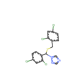 Clc1ccc(CSC(c2ccc(Cl)cc2Cl)n2cncn2)c(Cl)c1